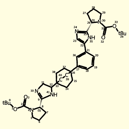 CC(C)(C)OC(=O)N1CCC[C@H]1C1=NCC(C23CCC(c4cccc(-c5cnc([C@@H]6CCCN6C(=O)OC(C)(C)C)[nH]5)c4)(CC2)CC3)N1